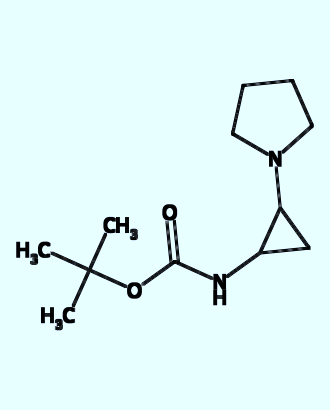 CC(C)(C)OC(=O)NC1CC1N1CCCC1